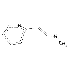 C=N/C=C/c1ccccn1